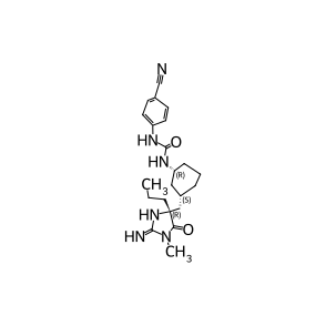 CCC[C@]1(C[C@H]2CCC[C@@H](NC(=O)Nc3ccc(C#N)cc3)C2)NC(=N)N(C)C1=O